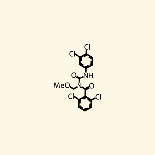 COCN(C(=O)Nc1ccc(Cl)c(Cl)c1)C(=O)c1c(Cl)cccc1Cl